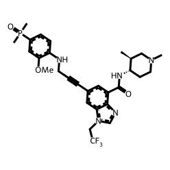 COc1cc(P(C)(C)=O)ccc1NCC#Cc1cc(C(=O)N[C@H]2CCN(C)C[C@@H]2C)c2ncn(CC(F)(F)F)c2c1